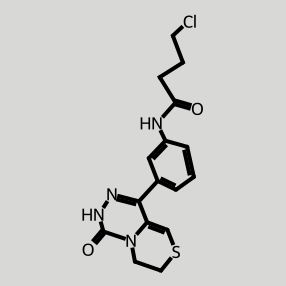 O=C(CCCCl)Nc1cccc(C2=NNC(=O)N3CCSC=C23)c1